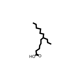 CCCCCCC(CCC)CCCCCC(=O)O